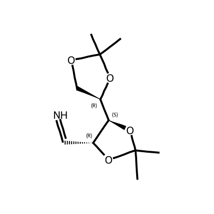 CC1(C)O[C@H]([C@H]2COC(C)(C)O2)[C@@H](C=N)O1